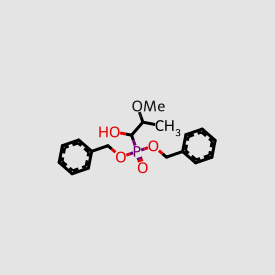 COC(C)C(O)P(=O)(OCc1ccccc1)OCc1ccccc1